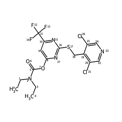 CCN(CC)C(=O)Oc1cc(C(F)(F)F)nc(SCc2c(Cl)cncc2Cl)n1